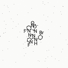 Fc1ccc2ncnc(Nc3cccc(Br)c3)c2n1.N#Cc1nc(F)ccc1[N+](=O)[O-]